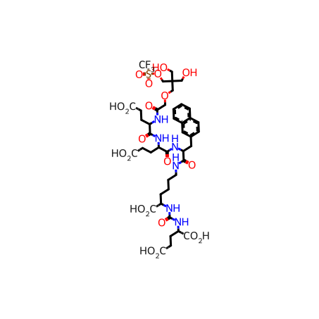 O=C(O)CCC(NC(=O)NC(CCCCNC(=O)C(Cc1ccc2ccccc2c1)NC(=O)C(CCC(=O)O)NC(=O)C(CCC(=O)O)NC(=O)COCC(CO)(CO)COS(=O)(=O)C(F)(F)F)C(=O)O)C(=O)O